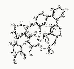 O=S(=O)(Cc1ccc(-c2ncccc2-c2ccc(F)c(F)c2)cc1F)Cc1ccc(-c2ncccc2-c2ccc(F)c(F)c2)cc1F